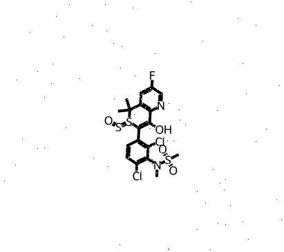 CN(c1c(Cl)ccc(C2=C(O)c3ncc(F)cc3C(C)(C)S2=S=O)c1Cl)S(C)(=O)=O